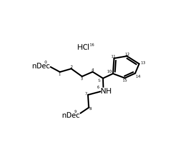 CCCCCCCCCCCCCCC(NCCCCCCCCCCCC)c1ccccc1.Cl